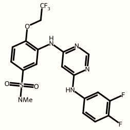 CNS(=O)(=O)c1ccc(OCC(F)(F)F)c(Nc2cc(Nc3ccc(F)c(F)c3)ncn2)c1